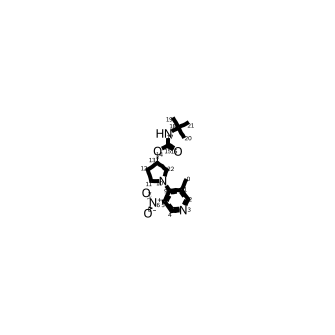 Cc1cncc([N+](=O)[O-])c1N1CC[C@H](OC(=O)NC(C)(C)C)C1